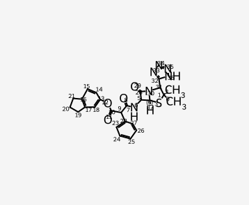 CC1(C)S[C@H]2C(NC(=O)C(C(=O)Oc3ccc4c(c3)CCC4)c3ccccc3)C(=O)N2C1c1nnn[nH]1